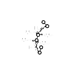 COCc1cc(-c2cc(COC)c(OCC(O)COc3ccccc3-c3ccccc3)c(OC)c2)cc(OC)c1OCC(O)COc1ccccc1-c1ccccc1